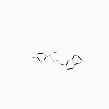 CCCc1ccc(C(CCCc2ccc3ccccc3c2)N(C)C)cc1